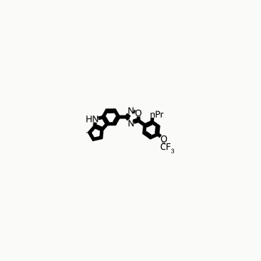 CCCc1cc(OC(F)(F)F)ccc1-c1nc(-c2ccc3[nH]c4c(c3c2)CC[CH]4)no1